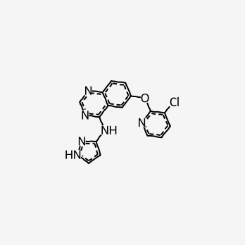 Clc1cccnc1Oc1ccc2ncnc(Nc3cc[nH]n3)c2c1